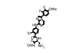 CCc1cc(Nc2nccn3c(-c4ccc(OC)c(F)c4F)cnc23)ccc1C(=O)N[C@@H](CN)C(=O)OC